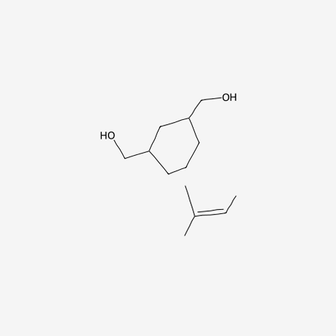 CC=C(C)C.OCC1CCCC(CO)C1